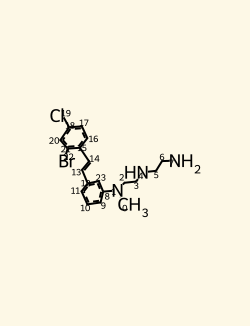 CN(CCNCCN)c1cccc(/C=C/c2ccc(Cl)cc2Br)c1